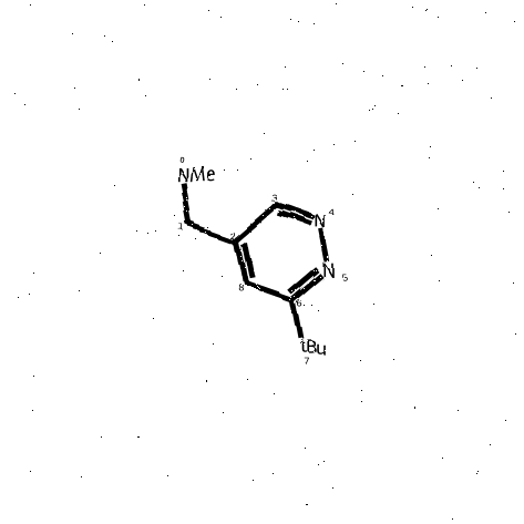 CNCc1cnnc(C(C)(C)C)c1